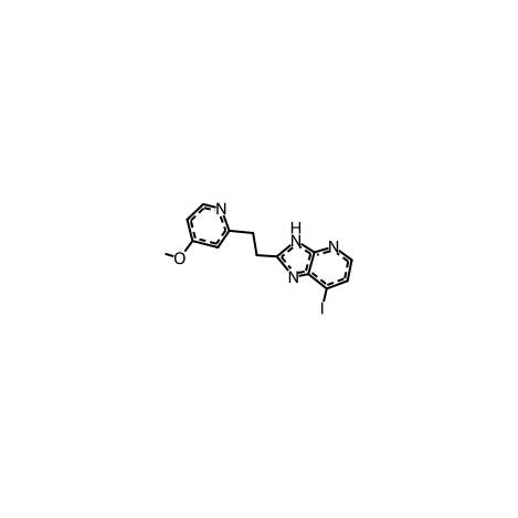 COc1ccnc(CCc2nc3c(I)ccnc3[nH]2)c1